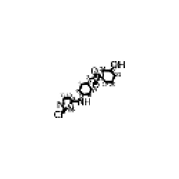 O=S(=O)(C[C@H]1CC[C@H](Nc2ccnc(Cl)n2)CC1)N1CCCC(O)C1